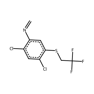 C=Nc1cc(SCC(F)(F)F)c(Cl)cc1Cl